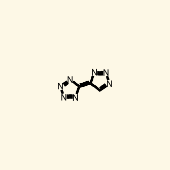 C1=NN=NC1=C1N=NN=N1